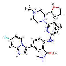 C=C(/C(=N\C(=C/C)Nc1ccc(-c2cnc3cc(F)ccn23)c2c1C(=O)NC2)N1CCN(C)CC1)[C@H]1CCOC1